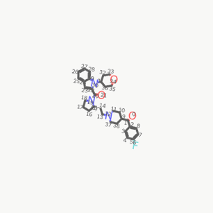 O=C(c1ccc(F)cc1)C1CCN(CC[C@@H]2CCCN2C(=O)c2cc3ccccc3n2C2CCOCC2)CC1